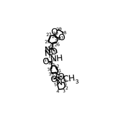 CC1CCCCN1S(=O)(=O)c1ccc(C(=O)Nc2nnc(-c3ccc4c(c3)OCCO4)o2)cc1